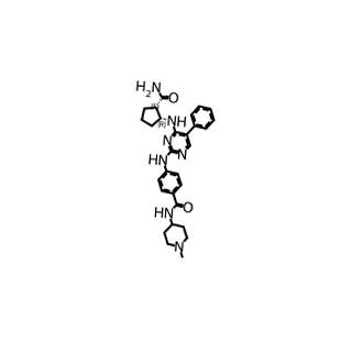 CN1CCC(NC(=O)c2ccc(Nc3ncc(-c4ccccc4)c(N[C@@H]4CCC[C@@H]4C(N)=O)n3)cc2)CC1